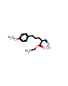 CCOC(=O)C(/C=N\O)CCCc1ccc(OC)cc1